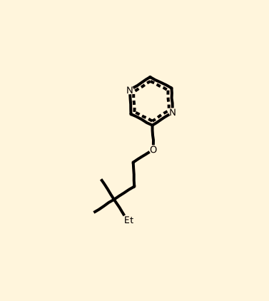 CCC(C)(C)CCOc1cnccn1